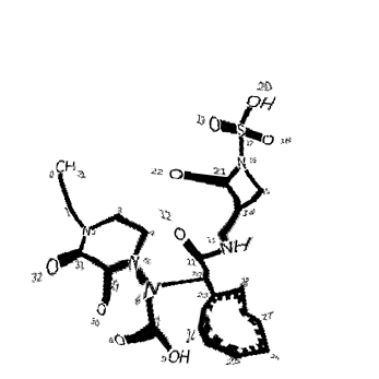 CCN1CCN(N(C(=O)O)C(C(=O)NC2CN(S(=O)(=O)O)C2=O)c2ccccc2)C(=O)C1=O